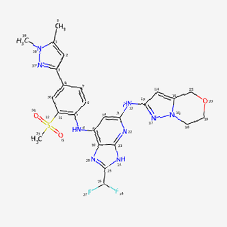 Cc1cc(-c2ccc(Nc3cc(Nc4cc5n(n4)CCOC5)nc4[nH]c(C(F)F)nc34)c(S(C)(=O)=O)c2)nn1C